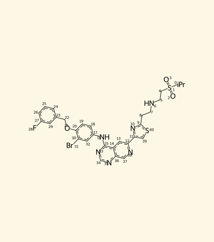 CC(C)S(=O)(=O)CCNCCc1nc(-c2cc3c(Nc4ccc(OCc5cccc(F)c5)c(Br)c4)ncnc3cn2)cs1